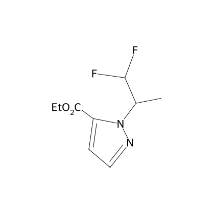 CCOC(=O)c1ccnn1C(C)C(F)F